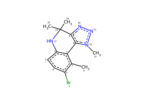 Cc1c(Br)ccc2c1-c1c(nnn1C)C(C)(C)N2